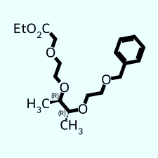 CCOC(=O)COCCO[C@H](C)[C@@H](C)OCCOCc1ccccc1